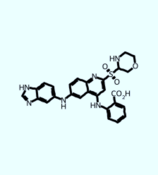 O=C(O)c1ccccc1Nc1cc(S(=O)(=O)C2COCCN2)nc2ccc(Nc3ccc4[nH]cnc4c3)cc12